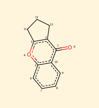 O=c1c2c(oc3ccccc13)CCC2